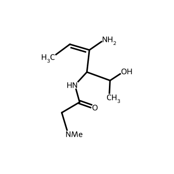 C/C=C(/N)C(NC(=O)CNC)C(C)O